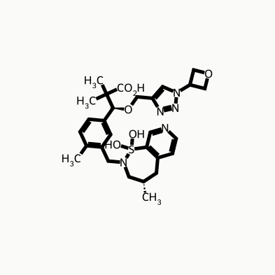 Cc1ccc([C@H](OCc2cn(C3COC3)nn2)C(C)(C)C(=O)O)cc1CN1C[C@@H](C)Cc2ccncc2S1(O)O